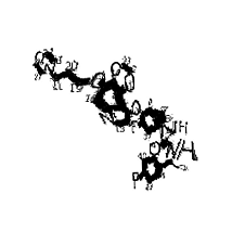 C[C@H](NC(=O)Nc1ccc(Oc2ccnc3cc(OCCCN4CCOCC4)c4c(c23)OCCO4)c(F)c1)c1ccc(F)cc1